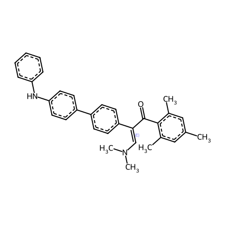 Cc1cc(C)c(C(=O)/C(=C/N(C)C)c2ccc(-c3ccc(Nc4ccccc4)cc3)cc2)c(C)c1